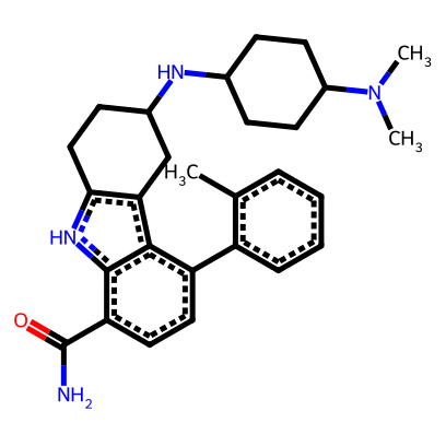 Cc1ccccc1-c1ccc(C(N)=O)c2[nH]c3c(c12)CC(NC1CCC(N(C)C)CC1)CC3